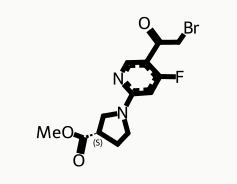 COC(=O)[C@H]1CCN(c2cc(F)c(C(=O)CBr)cn2)C1